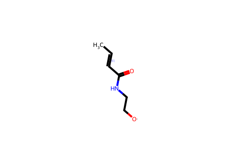 C/C=C/C(=O)NCC[O]